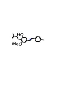 C=C(C)CCc1c(O)cc(/C=C/c2ccc(C)cc2)cc1OC